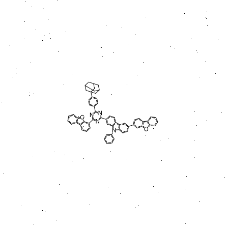 c1ccc(-n2c3ccc(-c4ccc5c(c4)oc4ccccc45)cc3c3ccc(-c4nc(-c5ccc(C67CC8CC(CC(C8)C6)C7)cc5)nc(-c5cccc6c5oc5ccccc56)n4)cc32)cc1